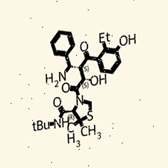 CCc1c(O)cccc1C(=O)[C@@H](C(N)c1ccccc1)[C@H](O)C(=O)N1CSC(C)(C)[C@H]1C(=O)NC(C)(C)C